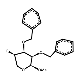 CO[C@H]1OC[C@@H](F)[C@@H](OCc2ccccc2)[C@H]1OCc1ccccc1